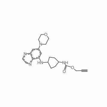 C#CCOC(=O)NC1CCC(Nc2cc(N3CCOCC3)cc3nccnc23)CC1